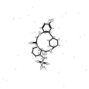 CS(=O)(=O)N[C@H]1CCCN2C(=O)COc3ccc(Cl)cc3C3CCC(CC3)OC[C@@H]12